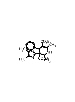 CCOC(=O)C1=C(C)NC(C)C(C(=O)OCC)(c2nc(C)c(C)s2)C1c1ccccc1